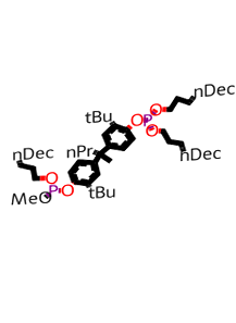 CCCCCCCCCCCCCOP(OC)Oc1ccc(C(C)(CCC)c2ccc(OP(OCCCCCCCCCCCCC)OCCCCCCCCCCCCC)c(C(C)(C)C)c2)cc1C(C)(C)C